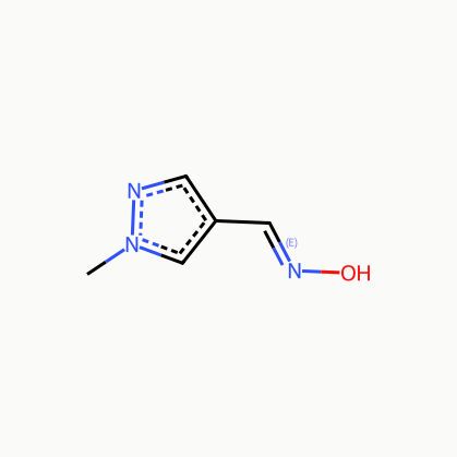 Cn1cc(/C=N/O)cn1